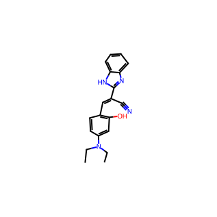 CCN(CC)c1ccc(C=C(C#N)c2nc3ccccc3[nH]2)c(O)c1